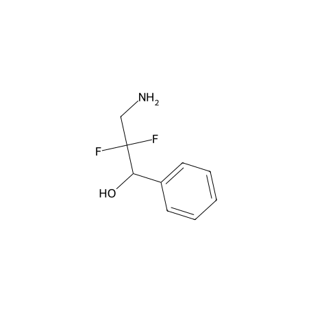 NCC(F)(F)C(O)c1ccccc1